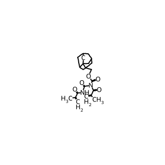 C=C(C)C(=O)NC(=O)N(C(=O)OCC12CC3CC4CC(C1)C2(C4)C3)C(=O)C(=C)C